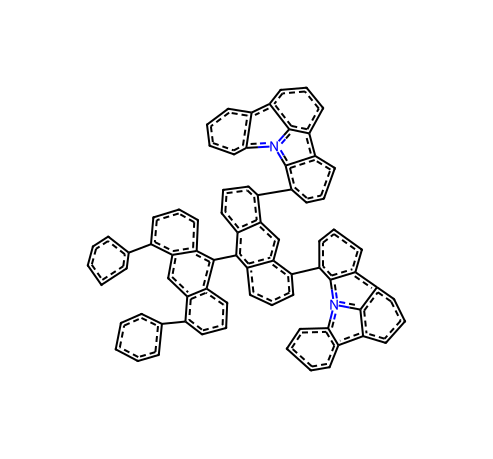 c1ccc(-c2cccc3c(-c4c5cccc(-c6cccc7c8cccc9c%10ccccc%10n(c67)c98)c5cc5c(-c6cccc7c8cccc9c%10ccccc%10n(c67)c98)cccc45)c4cccc(-c5ccccc5)c4cc23)cc1